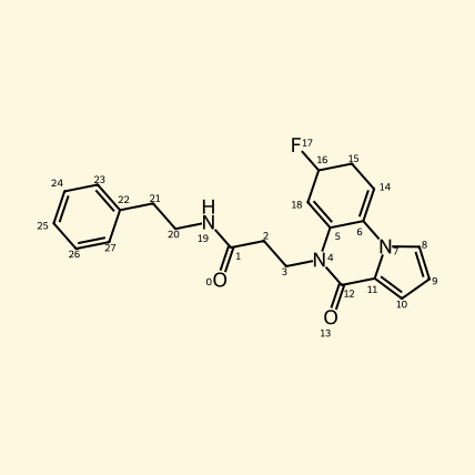 O=C(CCn1c2c(n3cccc3c1=O)=CCC(F)C=2)NCCc1ccccc1